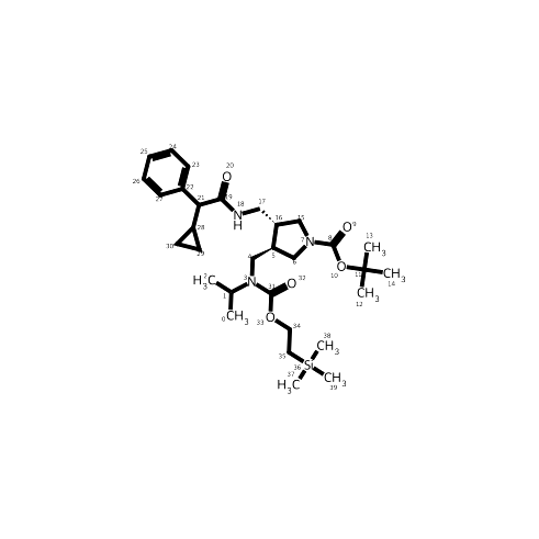 CC(C)N(C[C@@H]1CN(C(=O)OC(C)(C)C)C[C@H]1CNC(=O)C(c1ccccc1)C1CC1)C(=O)OCC[Si](C)(C)C